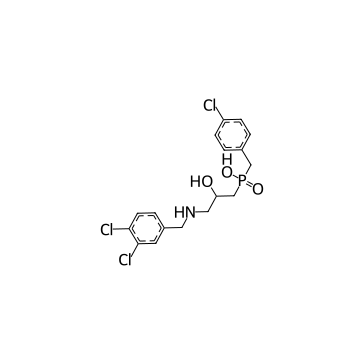 O=P(O)(Cc1ccc(Cl)cc1)CC(O)CNCc1ccc(Cl)c(Cl)c1